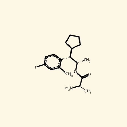 Cc1cc(F)ccc1[C@H](C1CCCC1)[C@H](C)OC(=O)[C@H](C)N